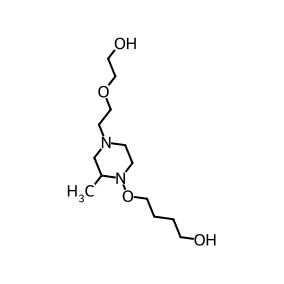 CC1CN(CCOCCO)CCN1OCCCCO